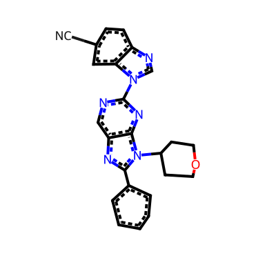 N#Cc1ccc2ncn(-c3ncc4nc(-c5ccccc5)n(C5CCOCC5)c4n3)c2c1